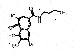 CCCCNC(=O)c1cc(O)c(=O)c2c(O)c(O)c(Br)cc2c1